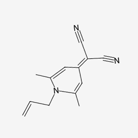 C=CCN1C(C)=CC(=C(C#N)C#N)C=C1C